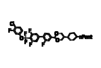 CCCCCC1CCC(C2COC(c3ccc(-c4cc(F)c(C(F)(F)Oc5ccc(Cl)c(F)c5)c(F)c4)c(F)c3)OC2)CC1